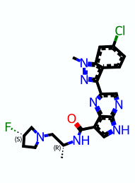 C[C@H](CN1CC[C@H](F)C1)NC(=O)c1c[nH]c2ncc(-c3nn(C)c4cc(Cl)ccc34)nc12